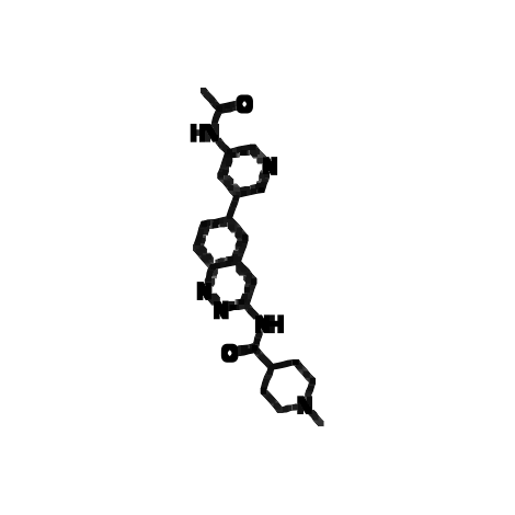 CC(=O)Nc1cncc(-c2ccc3nnc(NC(=O)C4CCN(C)CC4)cc3c2)c1